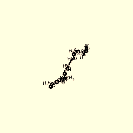 Cc1ccc(NC(=O)C2(c3ccc4c(c3)OC(F)(F)O4)CC2)nc1-c1cccc(C(=O)NCCCCCNC(=O)CNCc2ccc(-c3c4ncn(CC5(O)CCN(C(=O)C[C@@H](C)c6ccccc6)CC5)c(=O)c4nn3C)cc2)c1